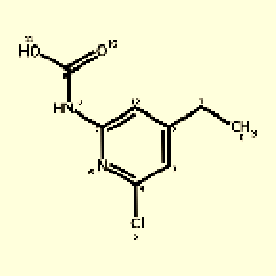 CCc1cc(Cl)nc(NC(=O)O)c1